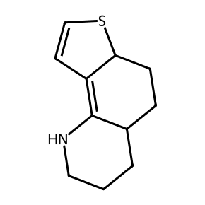 C1=CC2=C3NCCCC3CCC2S1